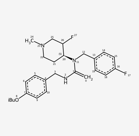 C=C(NCc1ccc(OCC(C)C)cc1)N(Cc1ccc(F)cc1)[C@H]1CCN(C)CC1F